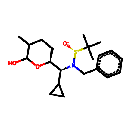 CC1CC[C@@H]([C@@H](C2CC2)N(Cc2ccccc2)[S@+]([O-])C(C)(C)C)OC1O